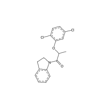 CC(Oc1cc(Cl)ccc1Cl)C(=O)N1CCc2ccccc21